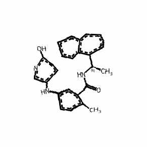 Cc1ccc(Nc2ccc(O)nc2)cc1C(=O)N[C@H](C)c1cccc2ccccc12